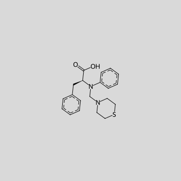 O=C(O)[C@H](Cc1ccccc1)N(CN1CCSCC1)c1ccccc1